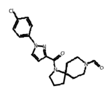 O=CN1CCC2(CCCN2C(=O)c2ccn(-c3ccc(Cl)cc3)n2)CC1